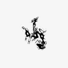 COc1ccc(C(=O)Nc2ccccn2)cc1-c1nn(COCC[Si](C)(C)C)c2nc(Nc3ccc(F)cc3F)ccc12